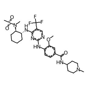 COc1cc(C(=O)NC2CCN(C)CC2)ccc1Nc1ncc(C(F)(F)F)c(N[C@@H]2CCCC[C@H]2N(C)S(C)(=O)=O)n1